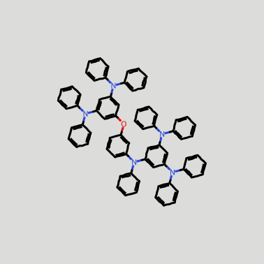 c1ccc(N(c2ccccc2)c2cc(Oc3cccc(N(c4ccccc4)c4cc(N(c5ccccc5)c5ccccc5)cc(N(c5ccccc5)c5ccccc5)c4)c3)cc(N(c3ccccc3)c3ccccc3)c2)cc1